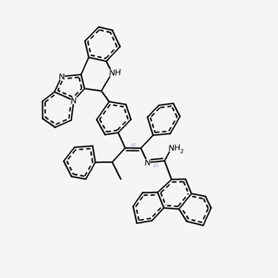 CC(/C(=C(\N=C(/N)c1cc2ccccc2c2ccccc12)c1ccccc1)c1ccc(C2Nc3ccccc3-c3nc4ccccn4c32)cc1)c1ccccc1